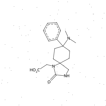 CN(C)C1(c2ccccc2)CCC2(CC1)CNC(=O)N2CC(=O)O